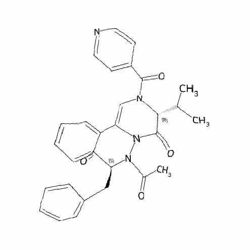 CC(=O)N([C@H](C=O)Cc1ccccc1)N1C(=O)[C@@H](C(C)C)N(C(=O)c2ccncc2)C=C1c1ccccc1